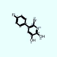 Oc1cc(-c2ccc(F)cc2)c(Br)nc1O